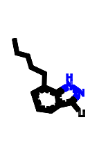 [Li][c]1n[nH]c2c(CCCCC)cccc12